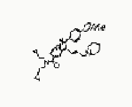 COc1ccc(-c2nn3ccc(C(=O)N(CCC4CC4)CCC4CC4)cc3c2/C=C/CN2CCCCC2)cc1